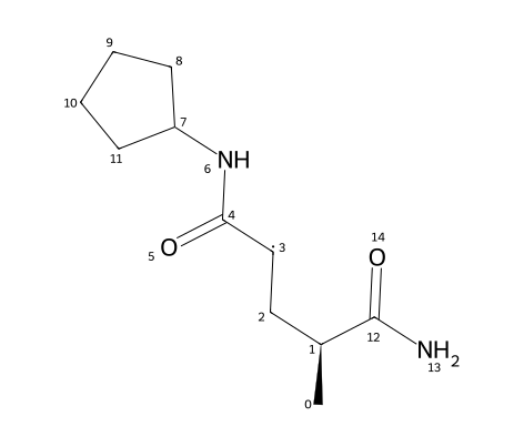 C[C@@H](C[CH]C(=O)NC1CCCC1)C(N)=O